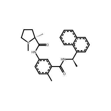 Cc1ccc(NC(=O)[C@]2(C)CCCN2C)cc1C(=O)N[C@H](C)c1cccc2ccccc12